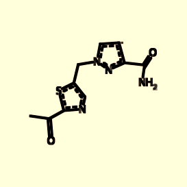 CC(=O)c1ncc(Cn2c[c]c(C(N)=O)n2)s1